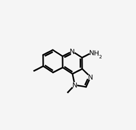 Cc1ccc2nc(N)c3ncn(C)c3c2c1